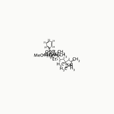 C=CCC(C)(CCC(C)(CC)[Si](C)(C)O[Si](OC)(O[SiH2]OC)c1ccccc1)[SiH](C)C